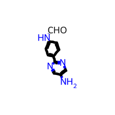 Nc1cnc(-c2ccc(NC=O)cc2)nc1